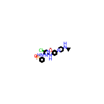 COc1cc(N2CCC(NC3CC3)CC2)ccc1Nc1ncc(Cl)c(Nc2ccccc2P(C)(C)=O)n1